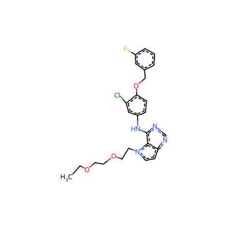 CCOCCOCCn1ccc2ncnc(Nc3ccc(OCc4cccc(F)c4)c(Cl)c3)c21